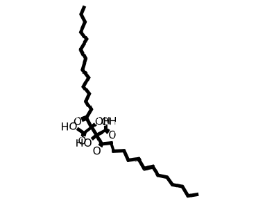 CCCCCCCCCCCCCC(=O)C(O)(C(=O)O)C(O)(C(=O)O)C(=O)CCCCCCCCCCCCC